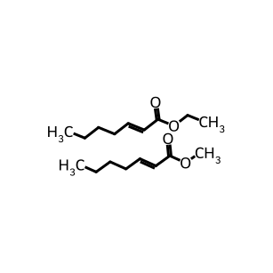 CCCC/C=C/C(=O)OC.CCCC/C=C/C(=O)OCC